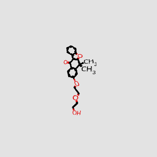 CC1(C)c2cc(OCCOCCO)ccc2C(=O)c2c1oc1ccccc21